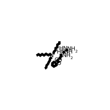 C=CCOS(=O)(=O)c1ccccc1.CCCCCCCCN(CCCCCCCC)CCCCCCCC.N=C(N)NC(=N)N